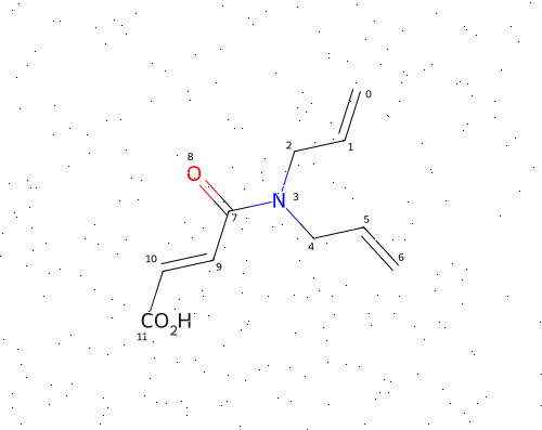 C=CCN(CC=C)C(=O)/C=C/C(=O)O